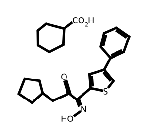 O=C(CC1CCCC1)C(=NO)c1cc(-c2ccccc2)cs1.O=C(O)C1CCCCC1